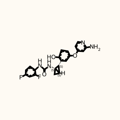 Nc1cc(Oc2ccc(O)c([C@@H]3[C@@H]4C[C@@]34NC(=O)Nc3ccc(F)cc3F)c2)ccn1